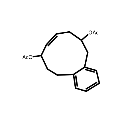 CC(=O)OC1[C]Cc2ccccc2CC(OC(C)=O)C/C=C\1